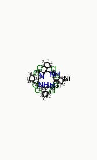 Clc1cccc(Cl)c1-c1c2nc(c(-c3c(Cl)cccc3Cl)c3ccc([nH]3)c(-c3c(Cl)cccc3Cl)c3nc(c(-c4c(Cl)cccc4Cl)c4ccc1[nH]4)C=C3)C=C2.[Ni]